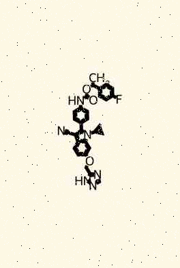 CC(OC(=O)Nc1ccc(-c2c(C#N)c3ccc(OCc4ncn[nH]4)cc3n2C2CC2)cc1)c1ccc(F)cc1